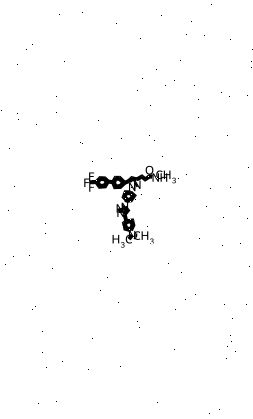 CNC(=O)CCc1cc(-c2ccc(-c3ccc(C(F)(F)F)cc3)cc2)n(-c2ccc(-n3cc(-c4ccc(N(C)C)cc4)nn3)cc2)n1